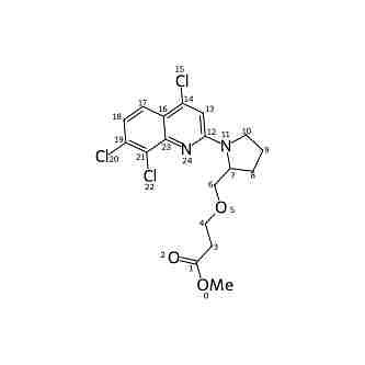 COC(=O)CCOCC1CCCN1c1cc(Cl)c2ccc(Cl)c(Cl)c2n1